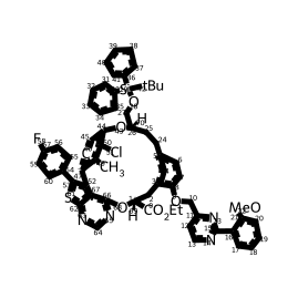 CCOC(=O)[C@H]1Cc2cc(ccc2OCc2ccnc(-c3ccccc3OC)n2)CC[C@@H](CO[Si](c2ccccc2)(c2ccccc2)C(C)(C)C)Oc2ccc(c(C)c2Cl)-c2c(-c3ccc(F)cc3)sc3ncnc(c23)O1